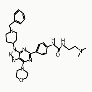 CN(C)CCNC(=O)Nc1ccc(-c2nc(N3CCOCC3)c3nnn(C4CCN(Cc5ccccc5)CC4)c3n2)cc1